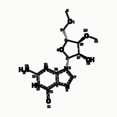 COC[C@H]1O[C@@H](n2cnc3c(=O)[nH]c(N)nc32)[C@H](O)[C@@H]1OC